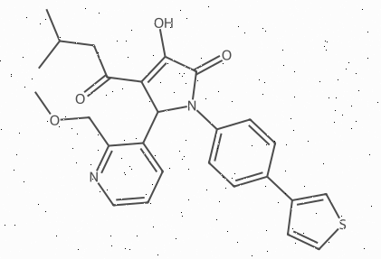 COCc1ncccc1C1C(C(=O)CC(C)C)=C(O)C(=O)N1c1ccc(-c2ccsc2)cc1